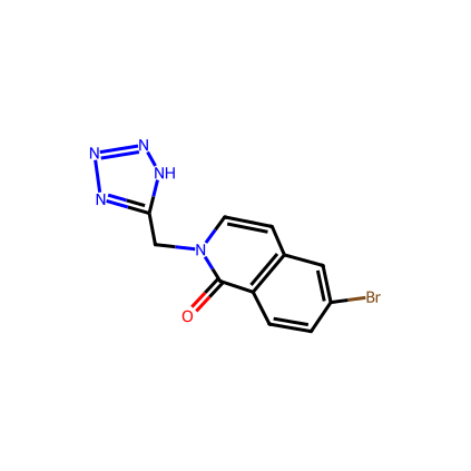 O=c1c2ccc(Br)cc2ccn1Cc1nnn[nH]1